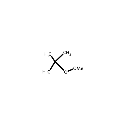 COOC(C)(C)C